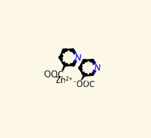 O=C([O-])c1cccnc1.O=C([O-])c1cccnc1.[Zn+2]